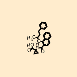 CC(CCc1ccccc1)Oc1c(C(=O)NC2(C(=O)O)CC2)ccc2ccccc12